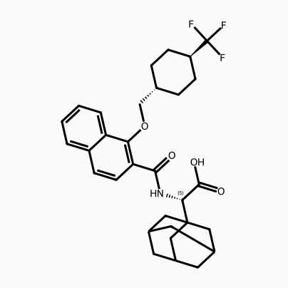 O=C(N[C@H](C(=O)O)C12CC3CC(CC(C3)C1)C2)c1ccc2ccccc2c1OC[C@H]1CC[C@H](C(F)(F)F)CC1